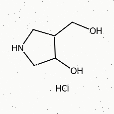 Cl.OCC1CNCC1O